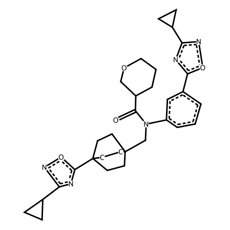 O=C(C1CCCOC1)N(CC12CCC(c3nc(C4CC4)no3)(CC1)CC2)c1cccc(-c2nc(C3CC3)no2)c1